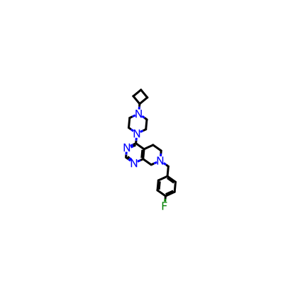 Fc1ccc(CN2CCc3c(ncnc3N3CCN(C4CCC4)CC3)C2)cc1